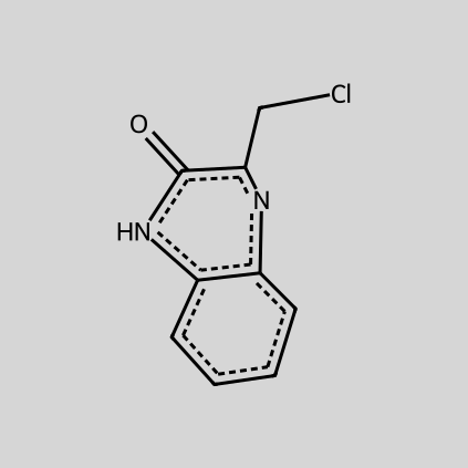 O=c1[nH]c2ccccc2nc1CCl